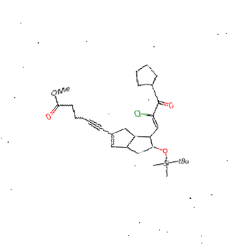 COC(=O)CCC#CC1=CC2CC(O[Si](C)(C)C(C)(C)C)C(C=C(Cl)C(=O)C3CCCC3)C2C1